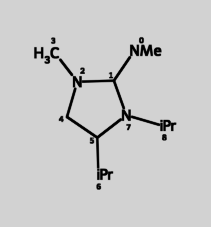 CNC1N(C)CC(C(C)C)N1C(C)C